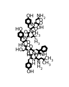 CC(C)C[C@H](NC(=O)[C@H](Cc1ccc(O)cc1)NC(=O)[C@H](CO)NC(=O)[C@H](Cc1c[nH]c2ccccc12)NC(=O)[C@H](Cc1ccc(O)cc1)NC(=O)[C@@H](N)CC(C)C)C(=O)N[C@@H](Cc1ccc(O)cc1)C(=O)N[C@@H](CC(N)=O)C(=O)O